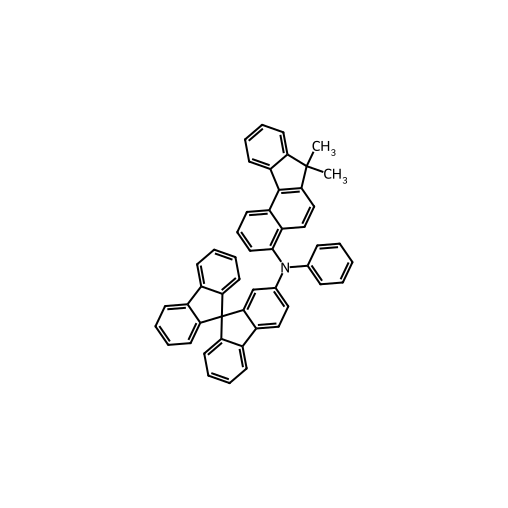 CC1(C)c2ccccc2-c2c1ccc1c(N(c3ccccc3)c3ccc4c(c3)C3(c5ccccc5-c5ccccc53)c3ccccc3-4)cccc21